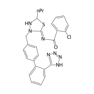 CCCC1NN(Cc2ccc(-c3ccccc3-c3nnn[nH]3)cc2)C(=NC(=O)c2ccccc2Cl)S1